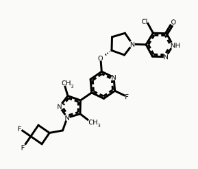 Cc1nn(CC2CC(F)(F)C2)c(C)c1-c1cc(F)nc(O[C@@H]2CCN(c3cn[nH]c(=O)c3Cl)C2)c1